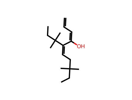 C=C/C=C(O)\C(=C/CC(C)(C)CC)C(C)(C)CC